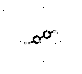 O=Cc1ccc(-c2ccc(C(F)(F)F)nc2)nc1